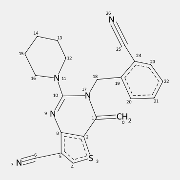 C=C1c2scc(C#N)c2N=C(N2CCCCC2)N1Cc1ccccc1C#N